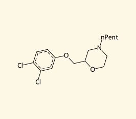 CCCCCN1CCOC(COc2ccc(Cl)c(Cl)c2)C1